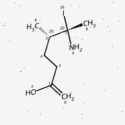 C=C(O)CC[C@H](C)[C@@](C)(N)I